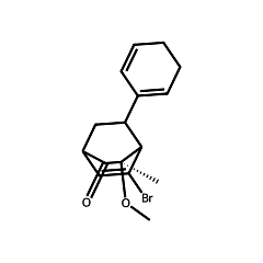 CO[C@@]1(C)C(=O)C2C=C(Br)C1C(C1=CCCC=C1)C2